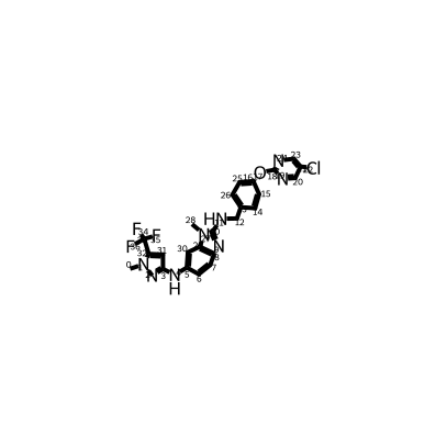 Cn1nc(Nc2ccc3nc(NCc4ccc(Oc5ncc(Cl)cn5)cc4)n(C)c3c2)cc1C(F)(F)F